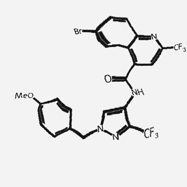 COc1ccc(Cn2cc(NC(=O)c3cc(C(F)(F)F)nc4ccc(Br)cc34)c(C(F)(F)F)n2)cc1